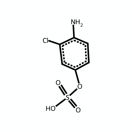 Nc1ccc(OS(=O)(=O)O)cc1Cl